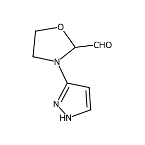 O=CC1OCCN1c1cc[nH]n1